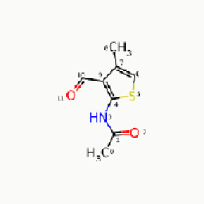 CC(=O)Nc1scc(C)c1C=O